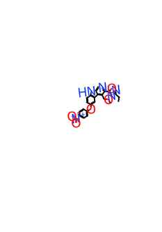 CCc1noc(-c2ncc3[nH]c4ccc(Oc5ccc([N+](=O)[O-])cc5)cc4c3c2COC)n1